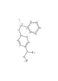 C[C@@H](CC1C=CC(C(F)CF)=CC1)c1ccccc1